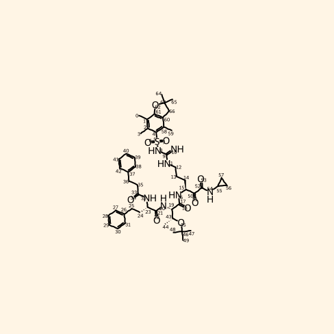 Cc1c(C)c(S(=O)(=O)NC(=N)NCCC[C@H](NC(=O)[C@@H](NC(=O)[C@H](CCc2ccccc2)NC(=O)CCc2ccccc2)[C@@H](C)OC(C)(C)C)C(=O)C(=O)NC2CC2)c(C)c2c1OC(C)(C)C2